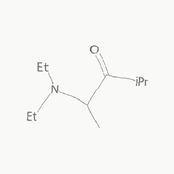 CCN(CC)C(C)C(=O)C(C)C